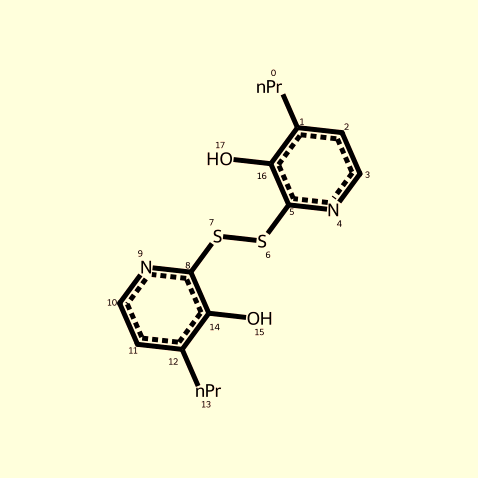 CCCc1ccnc(SSc2nccc(CCC)c2O)c1O